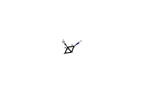 I[C@H]1C2C[C@@H]21